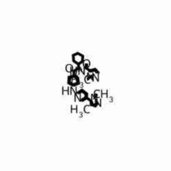 Cc1cnn(C)c1-c1ccc(Nc2ccc(C(=O)[C@@H](NC(=O)c3ccnn3C)C3CCCCC3)cc2)nc1